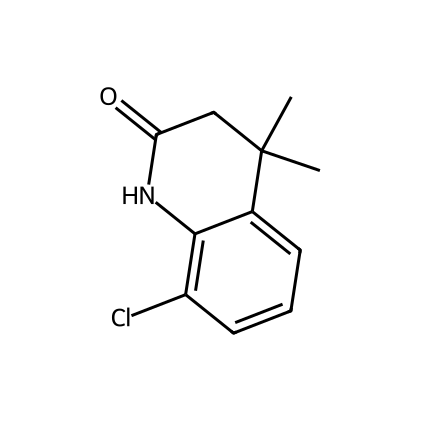 CC1(C)CC(=O)Nc2c(Cl)cccc21